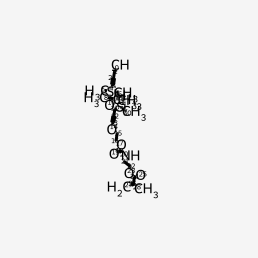 C#CC#C[Si](C)(C)C(C)(C)OC(C#COCCOC(=O)NCCOC(=O)C(=C)C)[SiH](C)C